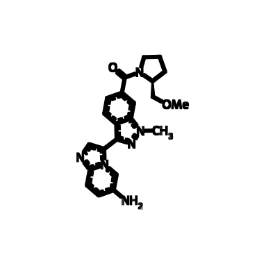 COC[C@@H]1CCCN1C(=O)c1ccc2c(-c3cnc4ccc(N)cn34)nn(C)c2c1